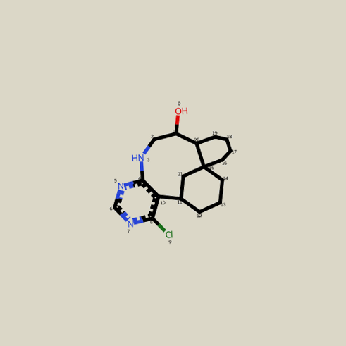 OC1CNc2ncnc(Cl)c2C2CCCC3(CCCCC13)C2